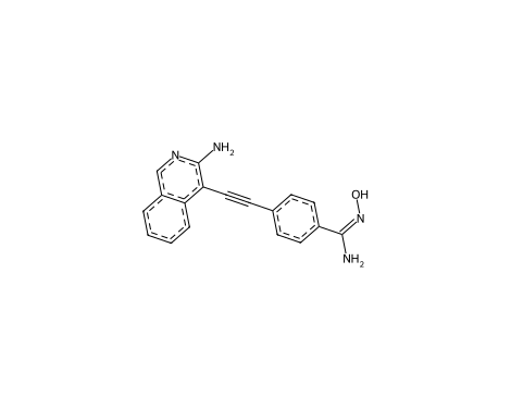 N/C(=N/O)c1ccc(C#Cc2c(N)ncc3ccccc23)cc1